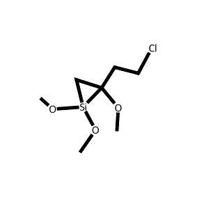 COC1(CCCl)C[Si]1(OC)OC